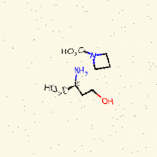 N[C@@H](CCO)C(=O)O.O=C(O)N1CCC1